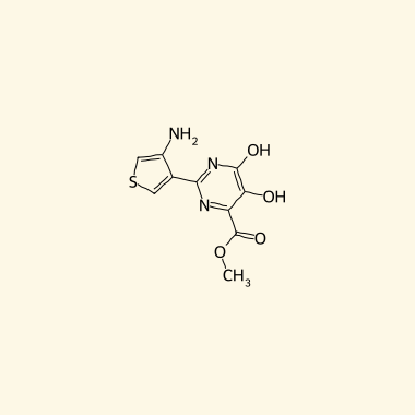 COC(=O)c1nc(-c2cscc2N)nc(O)c1O